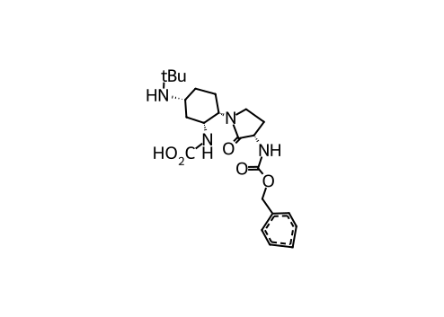 CC(C)(C)N[C@@H]1CC[C@H](N2CC[C@H](NC(=O)OCc3ccccc3)C2=O)[C@H](NC(=O)O)C1